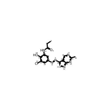 CCC(=O)Nc1cc(/N=N/c2snc3nc(C)ncc23)cc(Cl)c1O